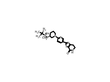 CC(C)(C)[Si](C)(C)O[C@H]1CCCN(c2ccc(-c3nc4c(s3)C(=O)NCC4)cn2)C1